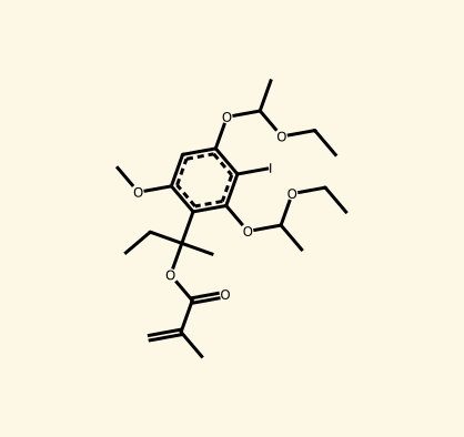 C=C(C)C(=O)OC(C)(CC)c1c(OC)cc(OC(C)OCC)c(I)c1OC(C)OCC